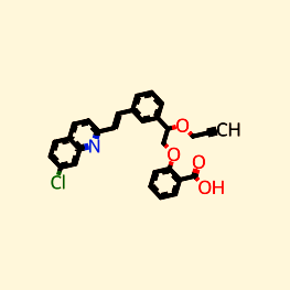 C#CCOC(COc1ccccc1C(=O)O)c1cccc(/C=C/c2ccc3ccc(Cl)cc3n2)c1